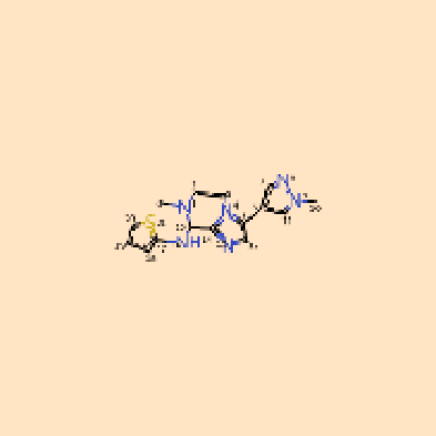 CN1C=Cn2c(-c3cnn(C)c3)cnc2C1Nc1cccs1